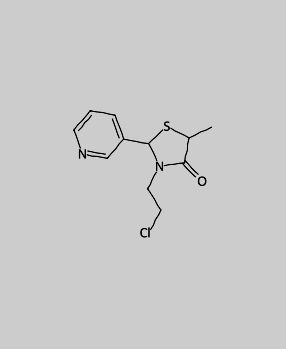 CC1SC(c2cccnc2)N(CCCl)C1=O